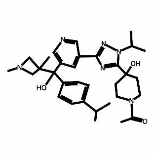 CC(=O)N1CCC(O)(c2nc(-c3cncc(C(O)(c4ccc(C(C)C)cc4)C4(C)CN(C)C4)c3)nn2C(C)C)CC1